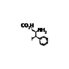 NC(CC(=O)O)C(I)c1ccccc1